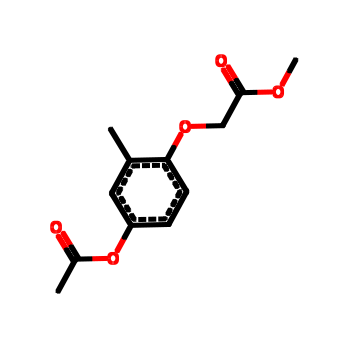 COC(=O)COc1ccc(OC(C)=O)cc1C